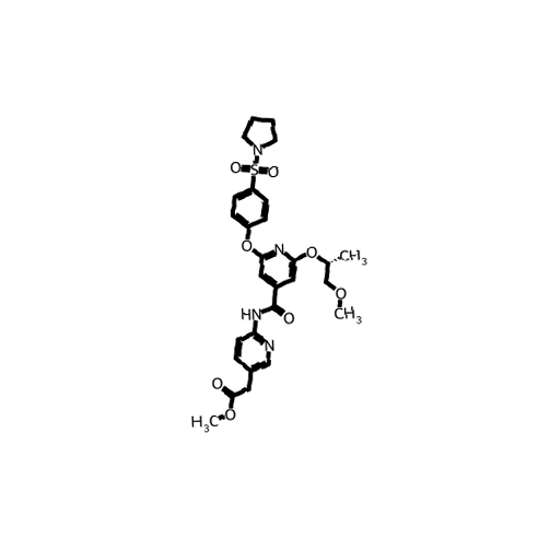 COC[C@@H](C)Oc1cc(C(=O)Nc2ccc(CC(=O)OC)cn2)cc(Oc2ccc(S(=O)(=O)N3CCCC3)cc2)n1